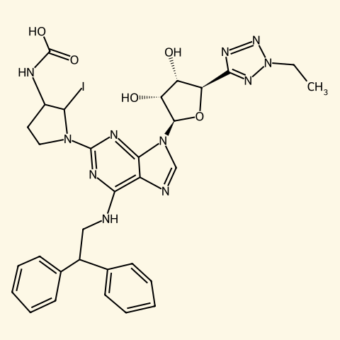 CCn1nnc([C@H]2O[C@@H](n3cnc4c(NCC(c5ccccc5)c5ccccc5)nc(N5CCC(NC(=O)O)C5I)nc43)[C@H](O)[C@@H]2O)n1